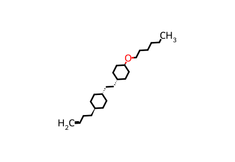 C=CCC[C@H]1CC[C@H](CC[C@H]2CC[C@H](OCCCCCC)CC2)CC1